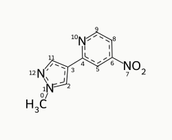 Cn1cc(-c2cc([N+](=O)[O-])ccn2)cn1